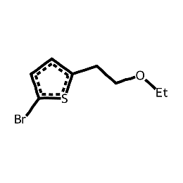 CCOCCc1ccc(Br)s1